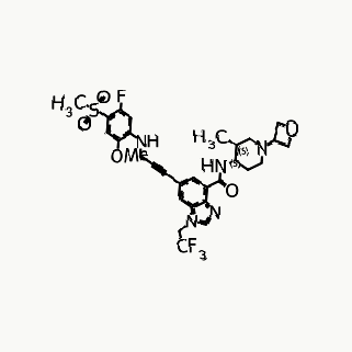 COc1cc(S(C)(=O)=O)c(F)cc1NCC#Cc1cc(C(=O)N[C@H]2CCN(C3COC3)C[C@@H]2C)c2ncn(CC(F)(F)F)c2c1